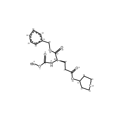 CC(C)(C)OC(=O)N[C@H](CCC(=O)OC1CCCCC1)C(=O)OCc1ccccc1